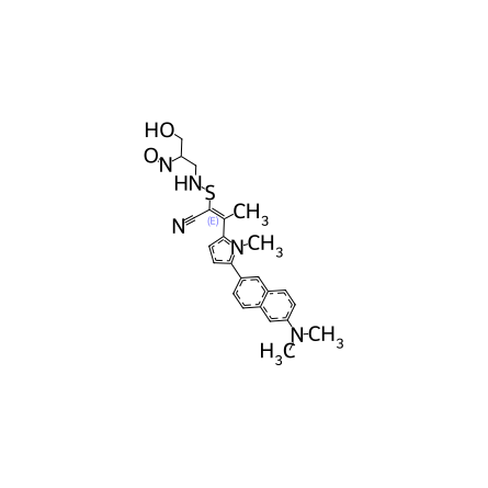 C/C(=C(/C#N)SNCC(CO)N=O)c1ccc(-c2ccc3cc(N(C)C)ccc3c2)n1C